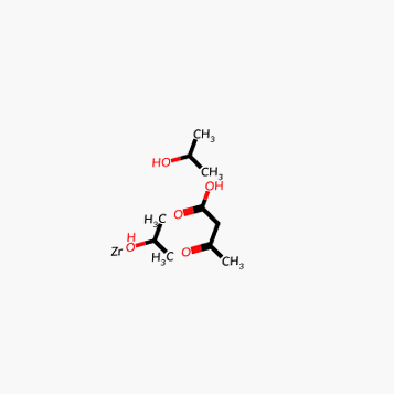 CC(=O)CC(=O)O.CC(C)O.CC(C)O.[Zr]